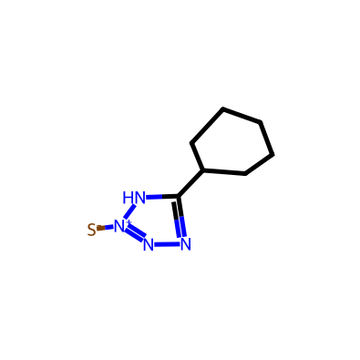 [S-][n+]1nnc(C2CCCCC2)[nH]1